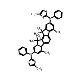 CC1=CC(N(c2ccccc2)c2nc(C)cs2)=CC2C1c1ccc3c(c1C2(C)C)C(C)(C)c1cc(N(c2ccccc2)c2nc(C)cs2)cc(C)c1-3